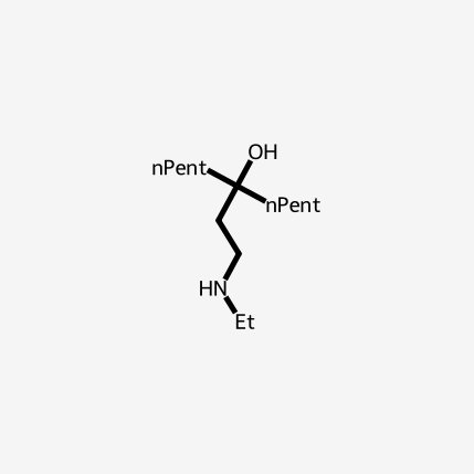 CCCCCC(O)(CCCCC)CCNCC